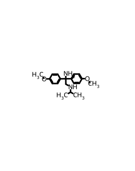 COc1ccc(C(N)(CNC(C)C)c2ccc(OC)cc2)cc1